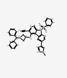 Cn1cc(-c2cnc3c(c2)c2c(OC4CN(C(c5ccccc5)c5ccccc5)C4)c(C#N)ncc2n3S(=O)(=O)c2ccccc2)cn1